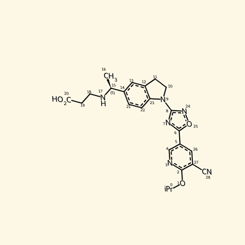 CC(C)Oc1ncc(-c2nc(N3CCc4cc([C@H](C)NCCC(=O)O)ccc43)no2)cc1C#N